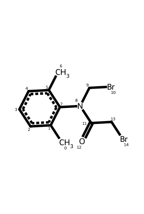 Cc1cccc(C)c1N(CBr)C(=O)CBr